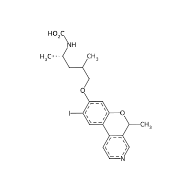 CC(COc1cc2c(cc1I)-c1ccncc1C(C)O2)C[C@H](C)NC(=O)O